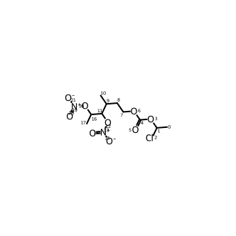 CC(Cl)OC(=O)OCCC(C)C(O[N+](=O)[O-])C(C)O[N+](=O)[O-]